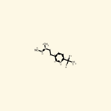 CS(CCc1ccc(C(F)(F)C(F)(F)F)nc1)=NC#N